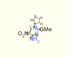 COC1N=C(N)C([N+](=O)[O-])=CN1C1CCCC1